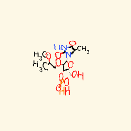 CO[C@H](C)COC1[C@@H](O[PH](=O)O)[C@@H](CO)O[C@H]1n1cc(C)c(=O)[nH]c1=O